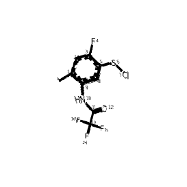 Cc1cc(F)c(SCl)cc1NC(=O)C(F)(F)F